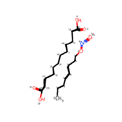 CCCCCCCCON=O.O=C(O)CCCCCCCCCCC(=O)O